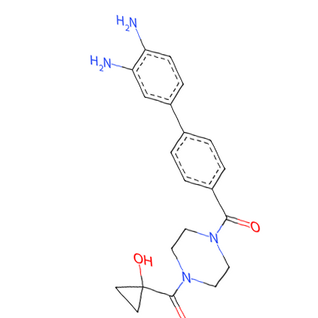 Nc1ccc(-c2ccc(C(=O)N3CCN(C(=O)C4(O)CC4)CC3)cc2)cc1N